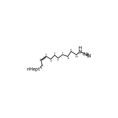 CCCCCCCC/C=C\CCCCCCCN[N+]#N